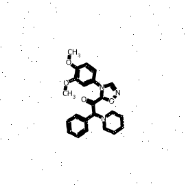 COc1ccc(N2C=NOC2C(=O)C(c2ccccc2)N2CCCCC2)cc1OC